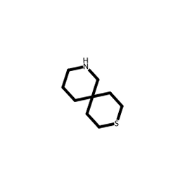 C1CNCC2(C1)CCSCC2